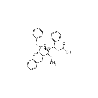 CCN(NC(CC(=O)O)c1ccccc1)C(Cc1ccccc1)C(=O)N(C)Cc1ccccc1